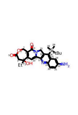 CCC1(O)CC(=O)OCc2c1cc1n(c2=O)Cc2c-1nc1ccc(N)cc1c2[Si](C)(C)C(C)(C)C